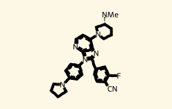 CN[C@@H]1CCCN(c2ccnc3c2nc(-c2ccc(C#N)c(F)c2)n3-c2ccc(N3CCCC3)cc2)C1